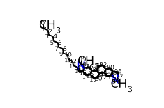 CCCCCCCCCCCCCCc1cc2cc3ccc4c5cc6c(ccn6C)cc5ccc4c3cc2n1C